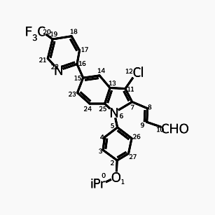 CC(C)Oc1ccc(-n2c(C=CC=O)c(Cl)c3cc(-c4ccc(C(F)(F)F)cn4)ccc32)cc1